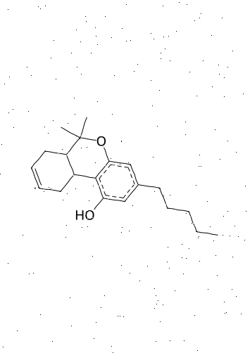 CCCCCc1cc(O)c2c(c1)OC(C)(C)C1CC=[C]CC21